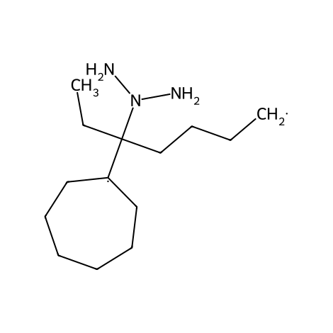 [CH2]CCCC(CC)([C]1CCCCCC1)N(N)N